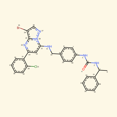 CC(NC(=O)Nc1ccc(CNc2cc(-c3ccccc3Cl)nc3c(Br)cnn23)cc1)c1ccccc1